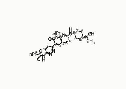 CCCS(=O)(=O)Nc1ccc(-c2cc3cnc(N[C@H]4CC[C@H](N(C)C)CC4)nc3n(C(C)C)c2=O)nn1